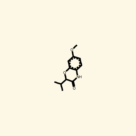 COc1ccc2c(c1)OC(C(C)C)C(=O)N2